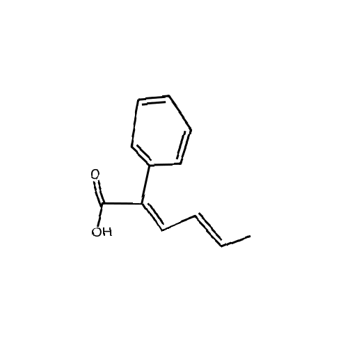 C/C=C/C=C(/C(=O)O)c1ccccc1